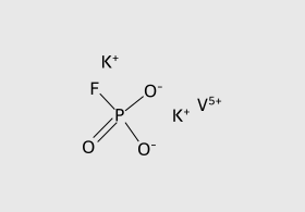 O=P([O-])([O-])F.[K+].[K+].[V+5]